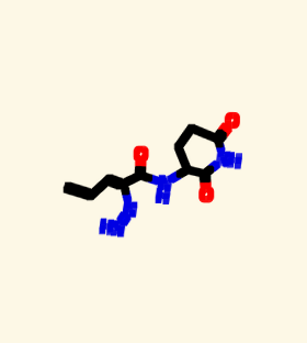 C=C/C=C(\N=N)C(=O)NC1CCC(=O)NC1=O